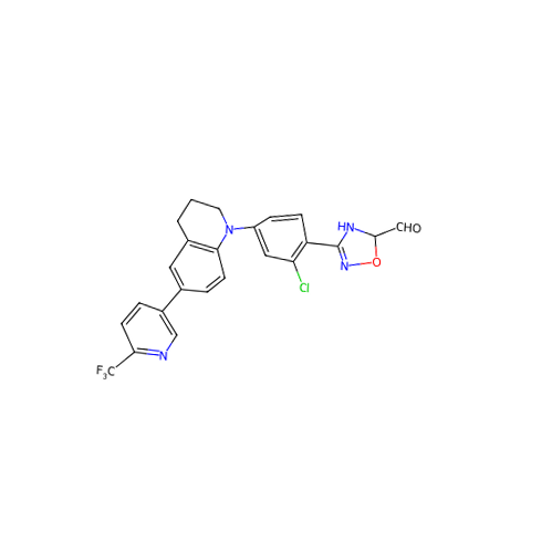 O=CC1NC(c2ccc(N3CCCc4cc(-c5ccc(C(F)(F)F)nc5)ccc43)cc2Cl)=NO1